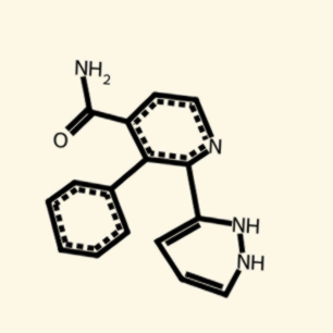 NC(=O)c1ccnc(C2=CC=CNN2)c1-c1ccccc1